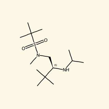 CC(C)N[C@H](CN(C)S(=O)(=O)C(C)(C)C)C(C)(C)C